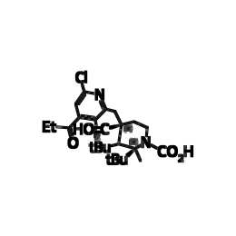 CCC(=O)c1cc(Cl)nc(C[C@]2(C(=O)O)CCN(C(=O)O)[C@@](C)(C(C)(C)C)C2C(C)(C)C)c1F